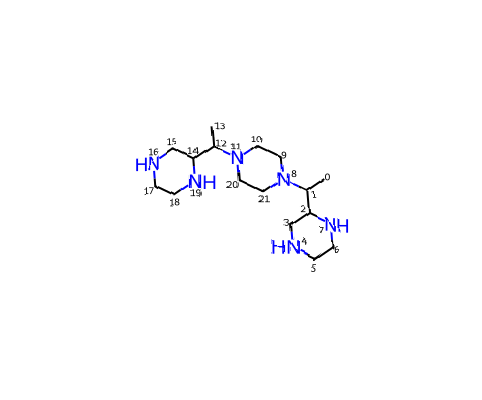 CC(C1CNCCN1)N1CCN(C(C)C2CNCCN2)CC1